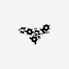 Cc1cc(C)cc(S(=O)(=O)N[C@@H](Cc2c[nH]c3ccccc23)C(=O)Nc2ccc(N3CCOCC3)cc2)c1